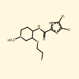 CCc1[nH]c(C(=O)NC2CCN(C(=O)O)CC2OCCF)nc1Cl